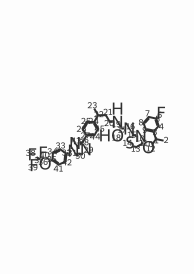 CC(C)c1cc(F)ccc1N1C(=O)CS/C1=N\C(O)NCCC(C)c1ccc(-c2ncn(-c3ccc(OC(F)(F)F)cc3)n2)cc1